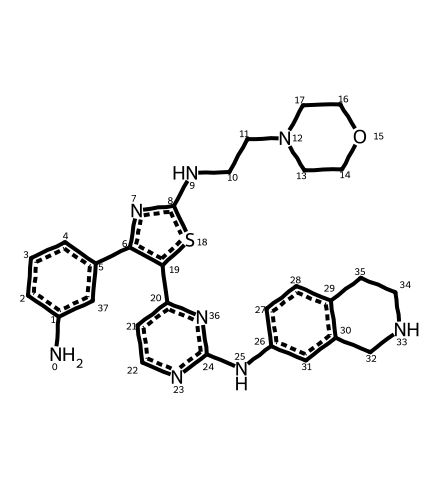 Nc1cccc(-c2nc(NCCN3CCOCC3)sc2-c2ccnc(Nc3ccc4c(c3)CNCC4)n2)c1